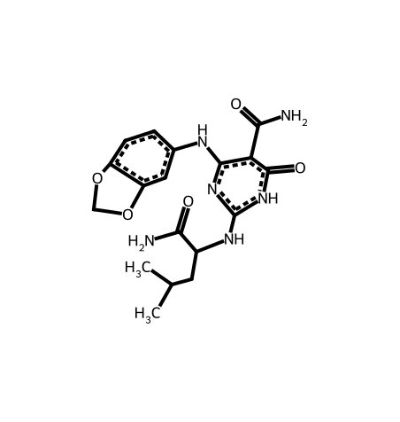 CC(C)CC(Nc1nc(Nc2ccc3c(c2)OCO3)c(C(N)=O)c(=O)[nH]1)C(N)=O